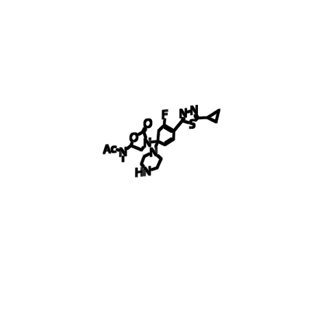 CC(=O)N(C)C1CN(C2(N3CCNCC3)C=CC(c3nnc(C4CC4)s3)=C(F)C2)C(=O)O1